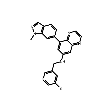 Cn1ncc2ccc(-c3cc(NCc4cncc(Br)c4)cc4nccnc34)cc21